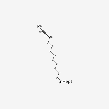 CCCCCCCCCCCCCCCCCC#C[P]